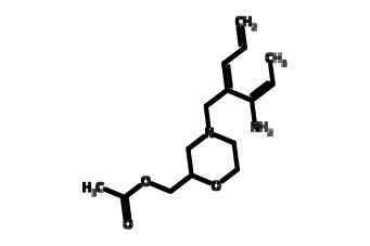 C=C/C=C(CN1CCOC(COC(C)=O)C1)\C(N)=C/C